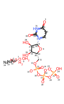 O.O.O.O=c1ccn([C@@H]2O[C@H](COP(=O)([O-])OP(=O)([O-])OP(=O)([O-])O)[C@@H](O)[C@H]2O)c(=O)[nH]1.[Na+].[Na+].[Na+]